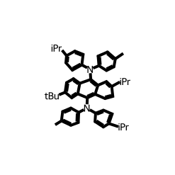 Cc1ccc(N(c2ccc(C(C)C)cc2)c2c3ccc(C(C)(C)C)cc3c(N(c3ccc(C)cc3)c3ccc(C(C)C)cc3)c3ccc(C(C)C)cc23)cc1